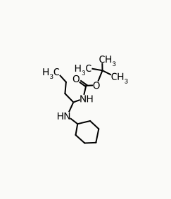 CCCC(NC(=O)OC(C)(C)C)NC1CCCCC1